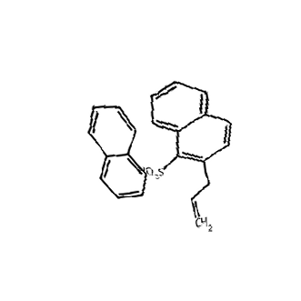 C=CCc1ccc2ccccc2c1S(=O)(=O)O.c1ccc2ccccc2c1